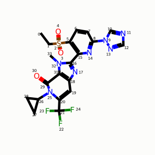 CCS(=O)(=O)c1ccc(-n2cncn2)nc1-c1nc2cc(C(F)(F)F)n(C3CC3)c(=O)c2n1C